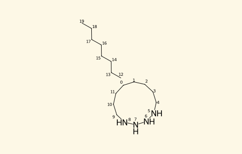 C1CCCCNNNNCCC1.CCCCCCCC